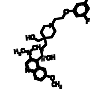 COc1ccc2ncc(N(C)C)c([C@@H](O)CCC3(CO)CCN(CCOc4cc(F)cc(F)c4)CC3)c2c1